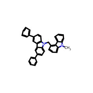 Cn1c2ccccc2c2c(Cn3c4ccc(-c5ccccc5)cc4c4cc(-c5ccccc5)ccc43)cccc21